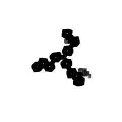 CC1(C)c2ccccc2-c2ccc(-c3ccc(N(c4ccc(-c5cccc6c5oc5ccccc56)cc4)c4cccc(-c5cccc6c5ccc5ccccc56)c4)cc3)cc21